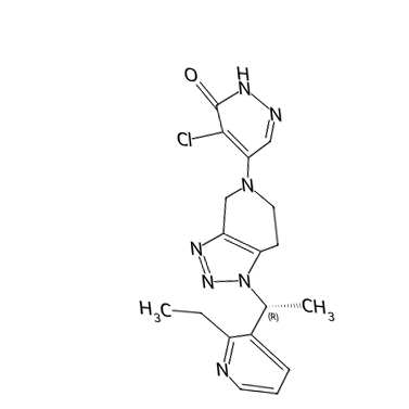 CCc1ncccc1[C@@H](C)n1nnc2c1CCN(c1cn[nH]c(=O)c1Cl)C2